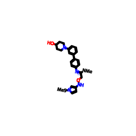 CN/C(CONc1ccn(SC)c1)=N\c1ccc(-c2cccc(N3CCC(O)CC3)c2)cc1